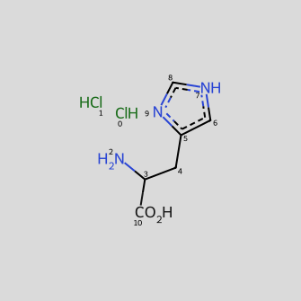 Cl.Cl.NC(Cc1c[nH]cn1)C(=O)O